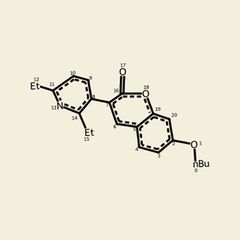 CCCCOc1ccc2cc(-c3ccc(CC)nc3CC)c(=O)oc2c1